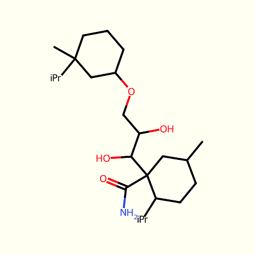 CC1CCC(C(C)C)C(C(N)=O)(C(O)C(O)COC2CCCC(C)(C(C)C)C2)C1